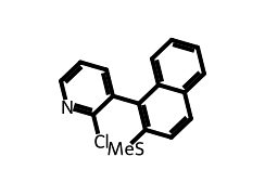 CSc1ccc2ccccc2c1-c1cccnc1Cl